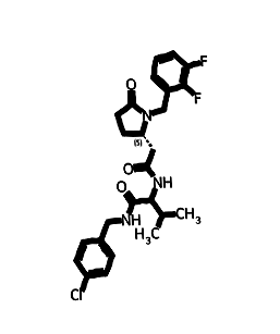 CC(C)C(NC(=O)C[C@@H]1CCC(=O)N1Cc1cccc(F)c1F)C(=O)NCc1ccc(Cl)cc1